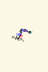 C[As](C)CCC(=O)NCc1ccc2ccn(C3CCN(CCc4ccc(F)cc4)CC3)c2c1